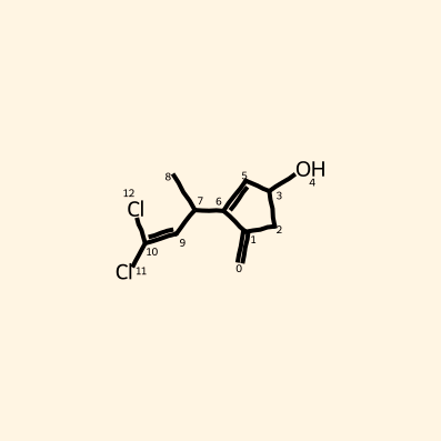 C=C1CC(O)C=C1C(C)C=C(Cl)Cl